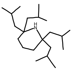 CC(C)CC1(CC(C)C)CCCC(CC(C)C)(CC(C)C)N1